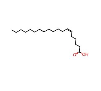 CCCCCCCCCCCC/C=C\CCCCC(=O)O